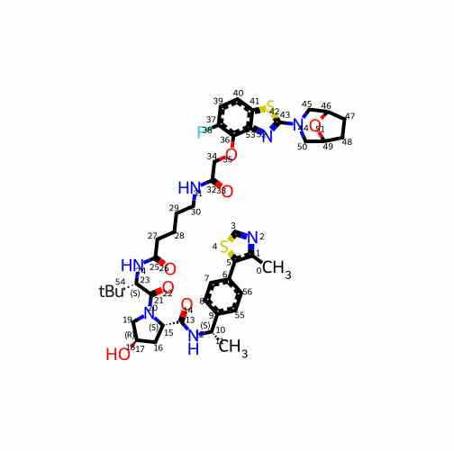 Cc1ncsc1-c1ccc([C@H](C)NC(=O)[C@@H]2C[C@@H](O)CN2C(=O)[C@@H](NC(=O)CCCCNC(=O)COc2c(F)ccc3sc(N4CC5CCC(C4)O5)nc23)C(C)(C)C)cc1